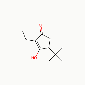 CCC1=C(O)C(C(C)(C)C)CC1=O